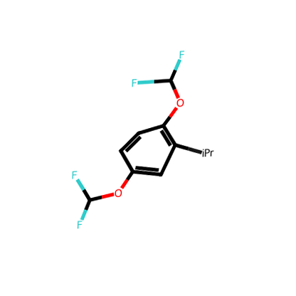 CC(C)c1cc(OC(F)F)ccc1OC(F)F